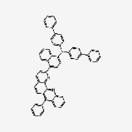 c1ccc(-c2ccc(N(c3ccc(-c4ccccc4)cc3)c3ccc(-c4ccc5ccc6c(-c7ccccc7)c7ccccc7nc6c5n4)c4ccccc34)cc2)cc1